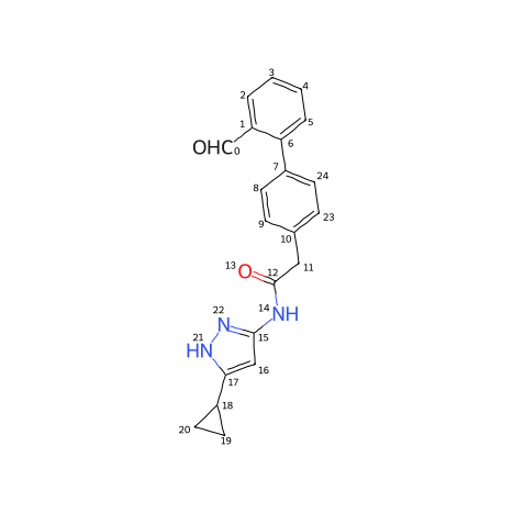 O=Cc1ccccc1-c1ccc(CC(=O)Nc2cc(C3CC3)[nH]n2)cc1